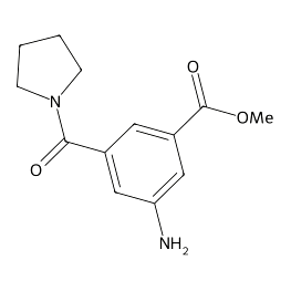 COC(=O)c1cc(N)cc(C(=O)N2CCCC2)c1